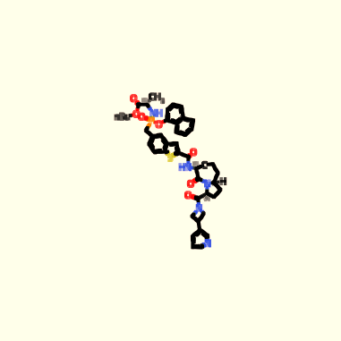 CCCCOC(=O)[C@H](C)NP(=O)(Cc1ccc2sc(C(=O)N[C@H]3CCC[C@H]4CC[C@@H](C(=O)N5CC(c6cccnc6)C5)N4C3=O)cc2c1)Oc1cccc2ccccc12